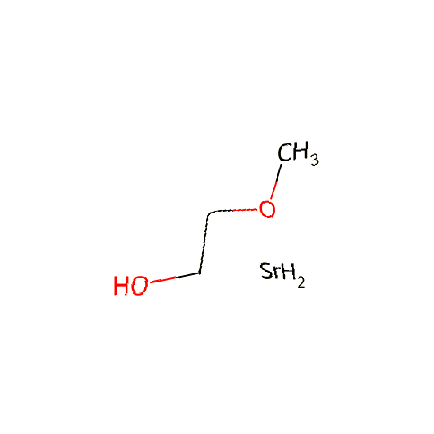 COCCO.[SrH2]